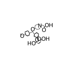 COc1ccc(C(OC2CCN(CC(=O)O)CC2)c2ccccc2)cc1.O=C(O)/C=C\C(=O)O